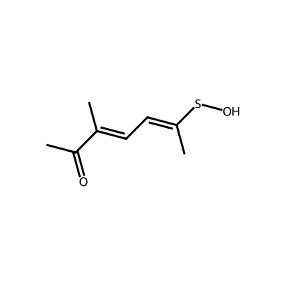 CC(=O)/C(C)=C/C=C(\C)SO